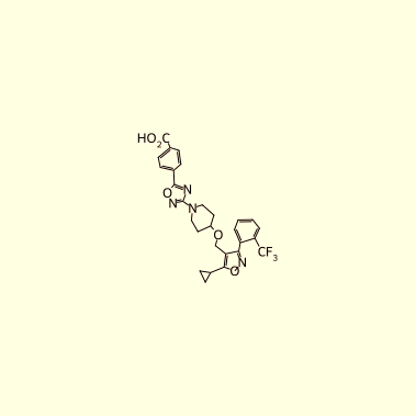 O=C(O)c1ccc(-c2nc(N3CCC(OCc4c(-c5ccccc5C(F)(F)F)noc4C4CC4)CC3)no2)cc1